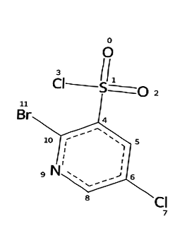 O=S(=O)(Cl)c1cc(Cl)cnc1Br